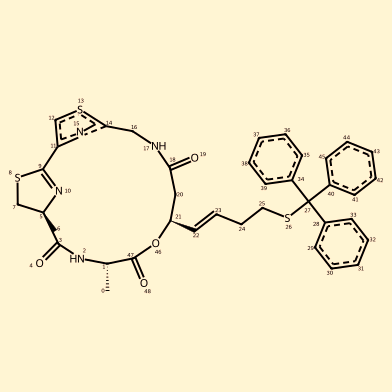 C[C@@H]1NC(=O)[C@]2(C)CSC(=N2)c2csc(n2)CNC(=O)C[C@@H](/C=C/CCSC(c2ccccc2)(c2ccccc2)c2ccccc2)OC1=O